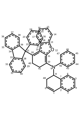 C1=Cc2ccccc2C(N(C2=c3oc4ccccc4c3=C(C3(c4ccccc4)c4ccccc4-c4ccccc43)CC2)c2ccccc2)C1